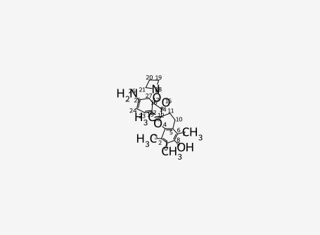 Cc1c(C)c2c(c(C)c1O)CCC(C)(C(=O)C1(ON3CCC3)C=CC=C(N)C1)O2